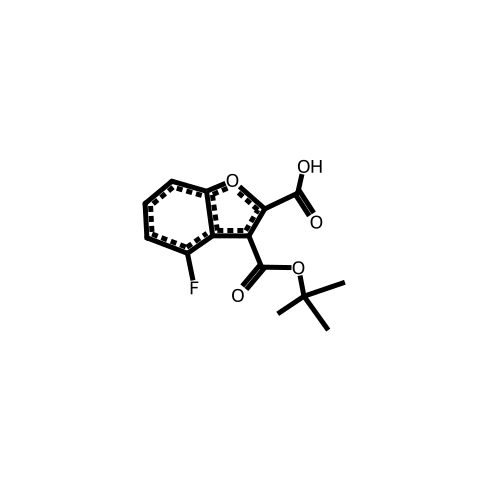 CC(C)(C)OC(=O)c1c(C(=O)O)oc2cccc(F)c12